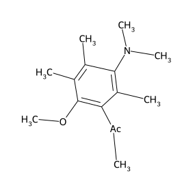 COc1c(C)c(C)c(N(C)C)c(C)[c]1[Ac][CH3]